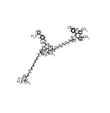 Cc1ncsc1-c1ccc(CNC(=O)[C@@H]2C[C@@H](OC(=O)CCCCCCCCCCCCCCC(=O)OC(C)(C)C)CN2C(=O)[C@@H](NC(=O)COCCOCCOCCNC(=O)C[C@@H]2N=C(c3ccc(Cl)cc3)c3c(sc(C)c3C)-n3c(C)nnc32)C(C)(C)C)cc1